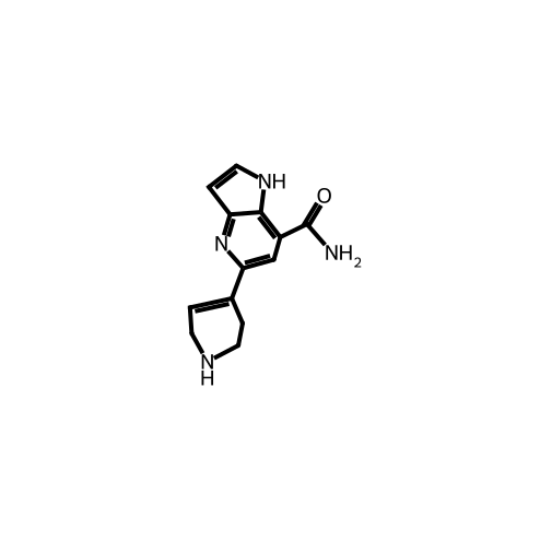 NC(=O)c1cc(C2=CCNCC2)nc2cc[nH]c12